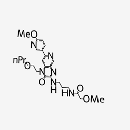 CCCOCCn1c(=O)c(NCCCNC(=O)COC)nc2cnc(-c3ccc(OC)nc3)cc21